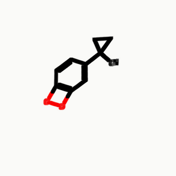 N#CC1(c2ccc3ooc3c2)CC1